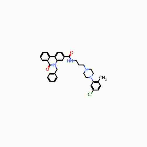 Cc1ccc(Cl)cc1N1CCN(CCCNC(=O)c2ccc3c4ccccc4c(=O)n(Cc4ccccc4)c3c2)CC1